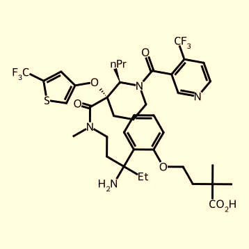 CCC[C@H]1N(C(=O)c2cnccc2C(F)(F)F)CCC[C@@]1(Oc1csc(C(F)(F)F)c1)C(=O)N(C)CCC(N)(CC)c1ccccc1OCCC(C)(C)C(=O)O